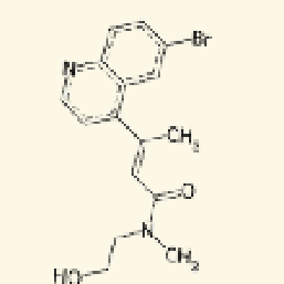 C/C(=C\C(=O)N(C)CCO)c1ccnc2ccc(Br)cc12